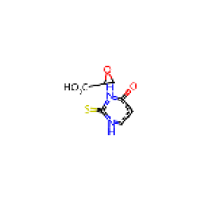 O=C(O)C1CO1.O=c1cc[nH]c(=S)[nH]1